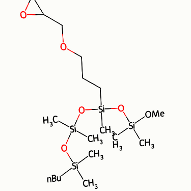 CCCC[Si](C)(C)O[Si](C)(C)O[Si](C)(CCCOCC1CO1)O[Si](C)(C)OC